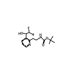 CC(C)(C)OC(=O)NCCc1ncccc1C(O)C(F)F